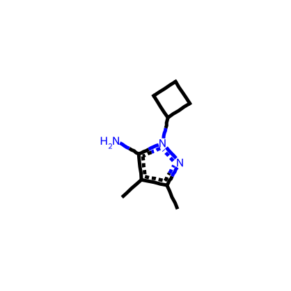 Cc1nn(C2CCC2)c(N)c1C